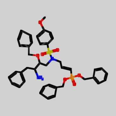 COc1ccc(S(=O)(=O)N(C/C=C/P(=O)(OCc2ccccc2)OCc2ccccc2)CC(OCc2ccccc2)C(N)Cc2ccccc2)cc1